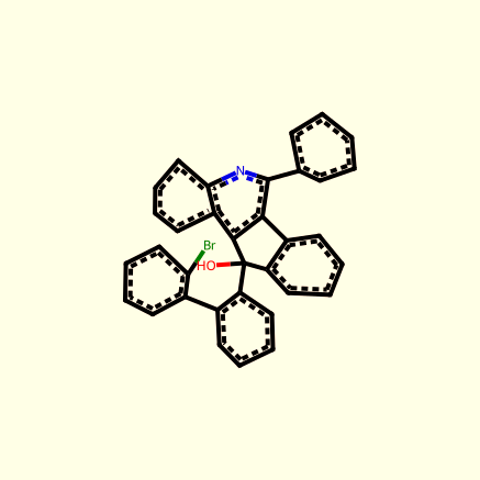 OC1(c2ccccc2-c2ccccc2Br)c2ccccc2-c2c(-c3ccccc3)nc3ccccc3c21